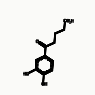 O=C(O)CCCC(=O)c1ccc(O)c(O)c1